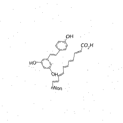 CCCCCCCCCC=CC=CC=CC=CC=CC(=O)O.Oc1ccc(C=Cc2cc(O)cc(O)c2)cc1